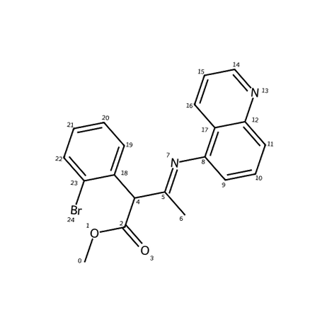 COC(=O)C(/C(C)=N/c1cccc2ncccc12)c1ccccc1Br